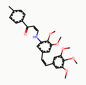 COc1cc(/C=C\c2cc(OC)c(OC)c(OC)c2)cc(N/C=C\C(=O)c2ccc(C)cc2)c1OC